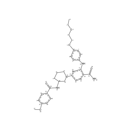 CCOCCOc1ccc(Nc2nc(N3CCCC(NC(=O)c4ccc(OC)cc4)C3)cnc2C(N)=O)cc1